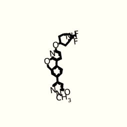 Cn1ncc(-c2ccc3c(c2)COc2nc(OC4CC5CC(F)(F)C(C4)N5)ccc2-3)cc1=O